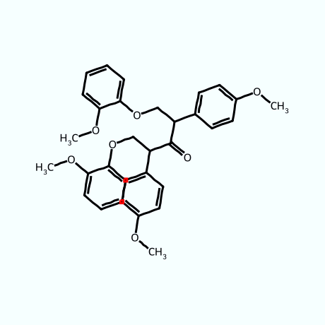 COc1ccc(C(COc2ccccc2OC)C(=O)C(COc2ccccc2OC)c2ccc(OC)cc2)cc1